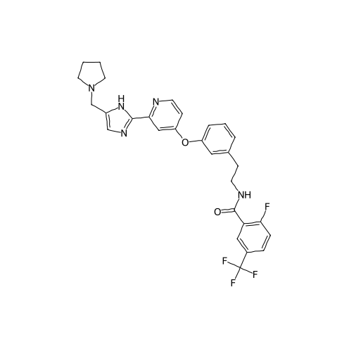 O=C(NCCc1cccc(Oc2ccnc(-c3ncc(CN4CCCC4)[nH]3)c2)c1)c1cc(C(F)(F)F)ccc1F